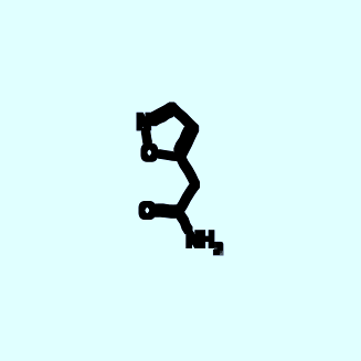 NC(=O)Cc1ccno1